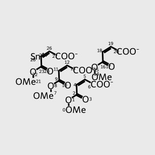 COOC(=O)/C=C\C(=O)[O-].COOC(=O)/C=C\C(=O)[O-].COOC(=O)/C=C\C(=O)[O-].COOC(=O)/C=C\C(=O)[O-].[Sn+4]